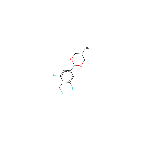 CCCC1COC(c2cc(F)c(CF)c(F)c2)OC1